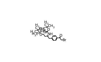 CC(C)(C)OC(=O)N[C@H](CCO[Si](C)(C)C(C)(C)C)Cc1ccc(C(=O)CBr)cc1